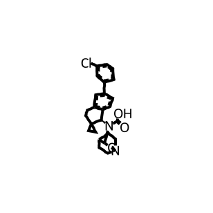 O=C(O)N(C1CN2CCC1CC2)[C@@H]1c2ccc(-c3cccc(Cl)c3)cc2CCC12CC2